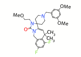 COCCN1C(=O)N2Cc3cc(F)cc(F)c3C(C)(C)C=C2C12CCN(Cc1cc(OC)cc(OC)c1)CC2